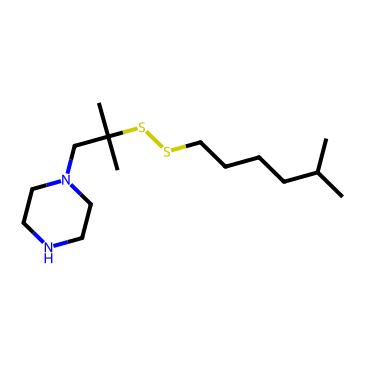 CC(C)CCCCSSC(C)(C)CN1CCNCC1